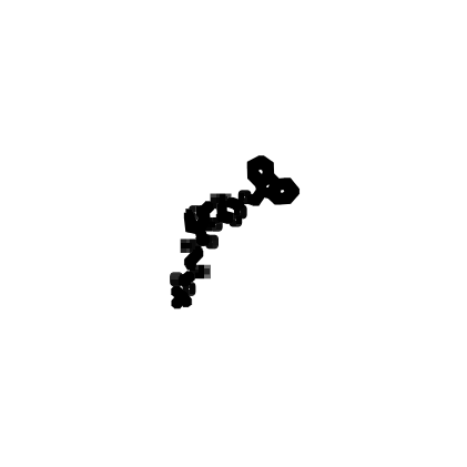 CC(C)(C)OC(=O)NCCNC(=O)c1cccc(C[C@H](NC(=O)OCC2c3ccccc3-c3ccccc32)C(=O)O)c1